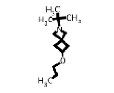 CCCOC1CC2(C1)CN(C(C)(C)C)C2